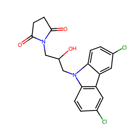 O=C1CCC(=O)N1CC(O)Cn1c2ccc(Cl)cc2c2cc(Cl)ccc21